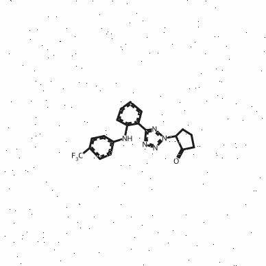 O=C1CCCC1n1nnc(-c2ccccc2Nc2ccc(C(F)(F)F)cc2)n1